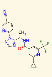 CC(NC(=O)c1cc(C2CC2)nc(C(F)(F)F)c1)c1ncnn1-c1ccc(C#N)cn1